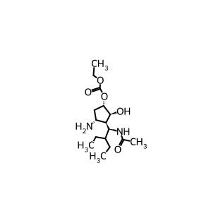 CCOC(=O)O[C@H]1C[C@@H](N)[C@H]([C@@H](NC(C)=O)C(CC)CC)[C@@H]1O